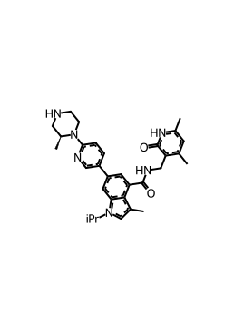 Cc1cc(C)c(CNC(=O)c2cc(-c3ccc(N4CCNC[C@@H]4C)nc3)cc3c2c(C)cn3C(C)C)c(=O)[nH]1